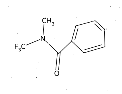 CN(C(=O)c1cc[c]cc1)C(F)(F)F